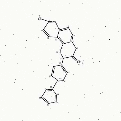 C=C1Cc2ccc3cc(Cl)ccc3c2OC1c1ccc(-c2ccccc2)cc1